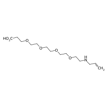 C=CCNCCOCCOCCOCCOCCC(=O)O